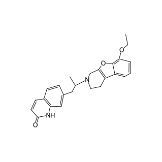 CCOc1cccc2c3c(oc12)CN(C(C)Cc1ccc2ccc(=O)[nH]c2c1)CC3